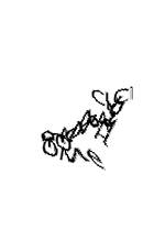 COc1cccc(CC(=O)N2CCN(c3ccc(-c4nc(-c5ccc(Cl)c(Cl)c5)c[nH]4)cn3)CC2)c1